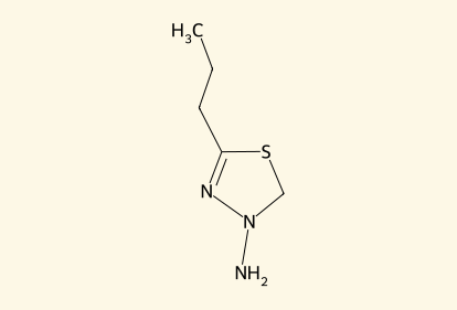 CCCC1=NN(N)CS1